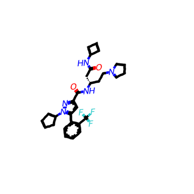 O=C(C[C@H](CCN1CCCC1)NC(=O)c1cc(-c2ccccc2C(F)(F)F)n(C2CCCC2)n1)NC1CCC1